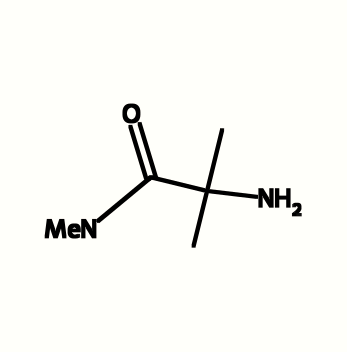 [CH2]NC(=O)C(C)(C)N